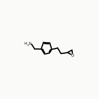 [SiH3]Cc1ccc(CCC2CO2)cc1